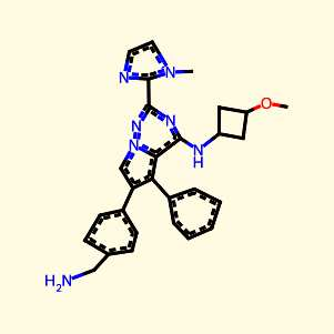 COC1CC(Nc2nc(-c3nccn3C)nn3cc(-c4ccc(CN)cc4)c(-c4ccccc4)c23)C1